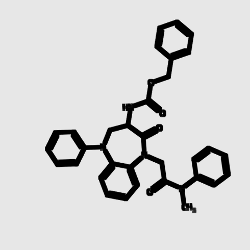 CN(C(=O)CN1C(=O)C(NC(=O)OCc2ccccc2)CN(c2ccccc2)c2ccccc21)c1ccccc1